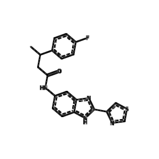 CC(CC(=O)Nc1ccc2[nH]c(-c3cscn3)nc2c1)c1ccc(F)cc1